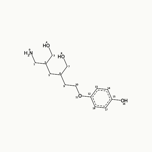 NCC(CO)CC(CO)CCOc1ccc(O)cc1